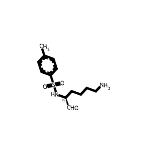 Cc1ccc(S(=O)(=O)N[C@H]([C]=O)CCCCN)cc1